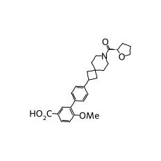 COc1ccc(C(=O)O)cc1-c1ccc(C2CC3(CCN(C(=O)[C@H]4CCCO4)CC3)C2)cc1